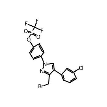 O=S(=O)(Oc1ccc(-n2cc(-c3cccc(Cl)c3)c(CBr)n2)cc1)C(F)(F)F